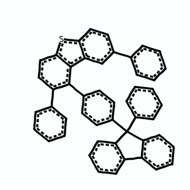 c1ccc(-c2ccc3sc4ccc(-c5ccccc5)c(-c5ccc(C6(c7ccccc7)c7ccccc7-c7ccccc76)cc5)c4c3c2)cc1